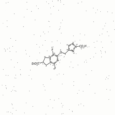 CCOC(=O)C1Cc2c(F)cc(OCc3ccn(C(=O)O)n3)c(F)c2C1